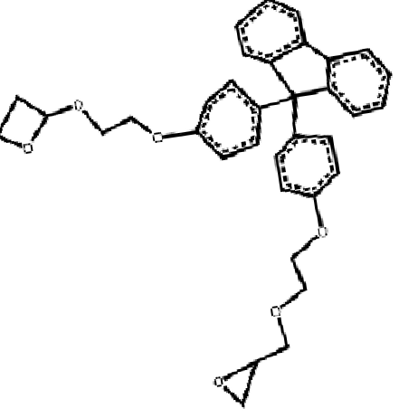 c1ccc2c(c1)-c1ccccc1C2(c1ccc(OCCOCC2CO2)cc1)c1ccc(OCCOC2CCO2)cc1